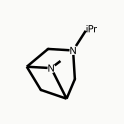 CC(C)N1CC2CC(C1)N2C